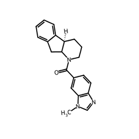 Cn1cnc2ccc(C(=O)N3CCC[C@@H]4c5ccccc5CC43)cc21